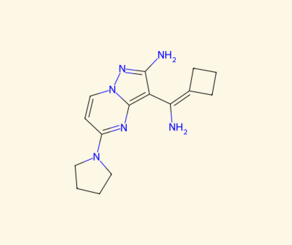 NC(=C1CCC1)c1c(N)nn2ccc(N3CCCC3)nc12